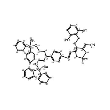 CC(C)c1cccc(C(C)C)c1CSC1=C(/C=C/c2ccc(N(CCO[Si](c3ccccc3)(c3ccccc3)C(C)(C)C)CCO[Si](c3ccccc3)(c3ccccc3)C(C)(C)C)cc2)CC(C)(C)C/C1=C\C#N